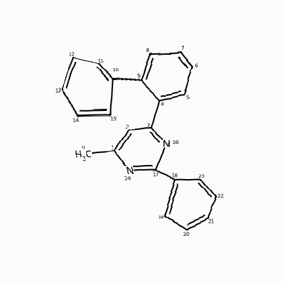 Cc1cc(-c2ccccc2-c2ccccc2)nc(-c2ccccc2)n1